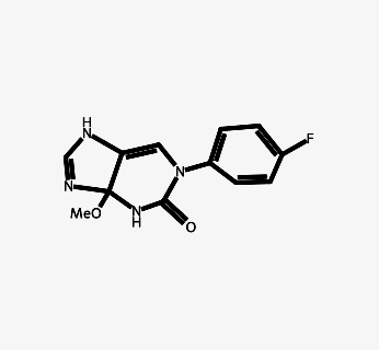 COC12N=CNC1=CN(c1ccc(F)cc1)C(=O)N2